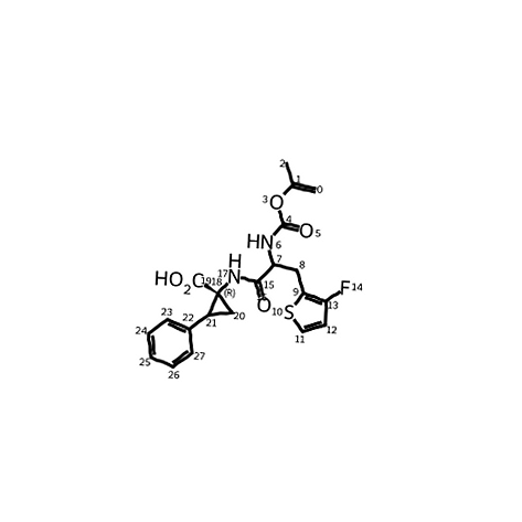 C=C(C)OC(=O)NC(Cc1sccc1F)C(=O)N[C@]1(C(=O)O)CC1c1ccccc1